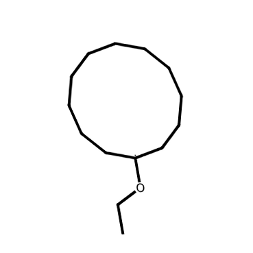 CCO[C]1CCCCCCCCCCC1